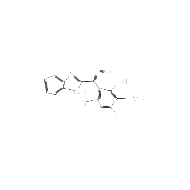 COc1c(C)cc(N)c(C(=S=O)c2nc3ccccc3[nH]2)c1C